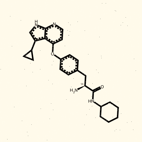 N[C@@H](Cc1ccc(Oc2ccnc3[nH]cc(C4CC4)c23)cc1)C(=O)NC1CCCCC1